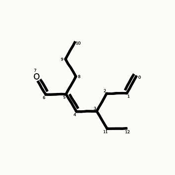 C=CCC(/C=C(/C=O)CCC)CC